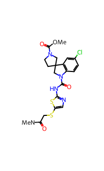 CNC(=O)CSc1cnc(NC(=O)N2CC3(CCN(C(=O)OC)C3)c3cc(Cl)ccc32)s1